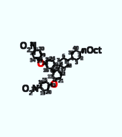 CCCCCCCC[C@H]1CC[C@@H](C2CCC(c3ccc(Oc4ccc([N+](=O)[O-])cc4)cc3)(c3ccc(Oc4ccc([N+](=O)[O-])cc4)cc3)CC2)CC1